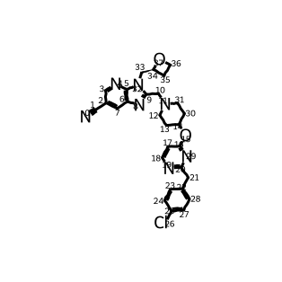 N#Cc1cnc2c(c1)nc(CN1CCC(Oc3ccnc(Cc4ccc(Cl)cc4)n3)CC1)n2C[C@@H]1CCO1